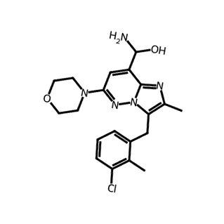 Cc1nc2c(C(N)O)cc(N3CCOCC3)nn2c1Cc1cccc(Cl)c1C